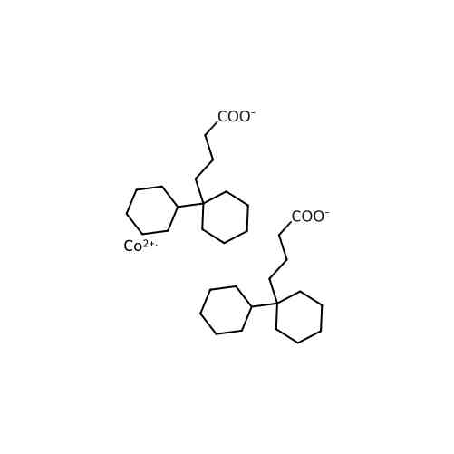 O=C([O-])CCCC1(C2CCCCC2)CCCCC1.O=C([O-])CCCC1(C2CCCCC2)CCCCC1.[Co+2]